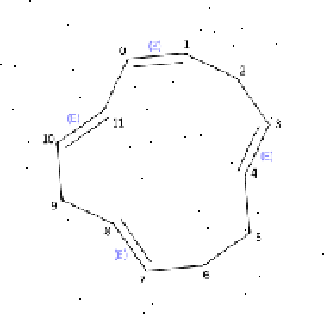 C1=C\C/C=C/CC/C=C/C/C=C/1